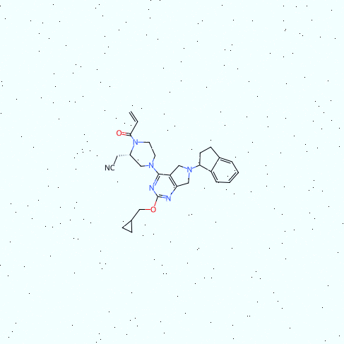 C=CC(=O)N1CCN(c2nc(OCC3CC3)nc3c2CN(C2CCc4ccccc42)C3)C[C@@H]1CC#N